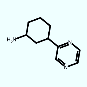 NC1CCCC(c2cnccn2)C1